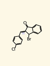 O=C1/C(=C/c2ccc(Cl)cc2)C(Br)c2ccccc21